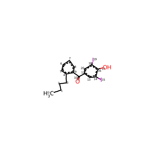 CCCCc1ccccc1C(=O)c1cc(I)c(O)c(I)c1